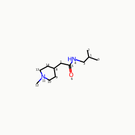 CC(C)CNC(=O)CC1CCN(C)CC1